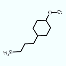 CCOC1CCC(CCC[SiH3])CC1